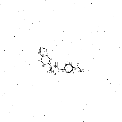 C=CC1CCC(C(=C)NCc2ccc(NCC)nc2)CC1